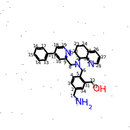 NCc1ccc(CN(Cc2cc(-c3ccccc3)ccn2)C2CCCc3cccnc32)c(CO)c1